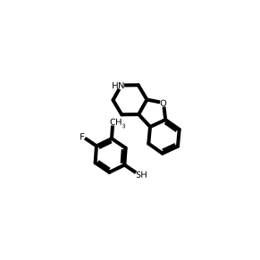 C1=CCC2C(=C1)OC1CNCCC12.Cc1cc(S)ccc1F